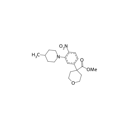 COC(=O)C1(c2ccc([N+](=O)[O-])c(N3CCC(C)CC3)c2)CCOCC1